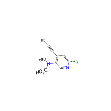 CCC#Cc1cc(Cl)ncc1N(C(=O)O)C(C)(C)C